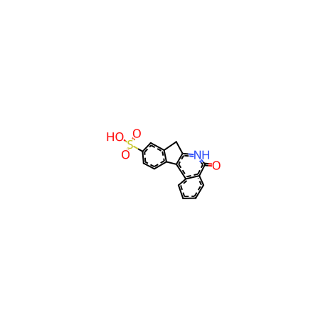 O=c1[nH]c2c(c3ccccc13)-c1ccc(S(=O)(=O)O)cc1C2